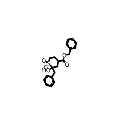 O=C(OCc1ccccc1)C1CCS(=O)(=O)C(O)(Cc2ccccc2)C1